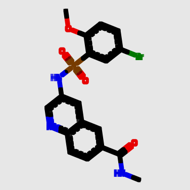 CNC(=O)c1ccc2ncc(NS(=O)(=O)c3cc(Br)ccc3OC)cc2c1